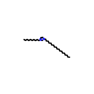 CCCCCCCCCCCCCCCCCCCN1C=CN(CCCCCCCCCC)C1